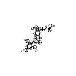 COC(=O)C=CNc1cc(CS(=O)(=O)C=Cc2c(OC)cc(OC)cc2OC)ccc1OC